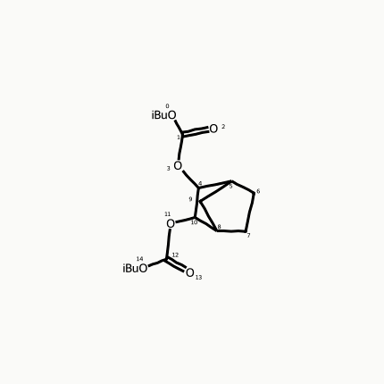 CC(C)COC(=O)OC1C2CCC(C2)C1OC(=O)OCC(C)C